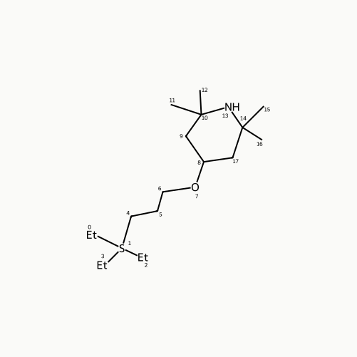 CCS(CC)(CC)CCCOC1CC(C)(C)NC(C)(C)C1